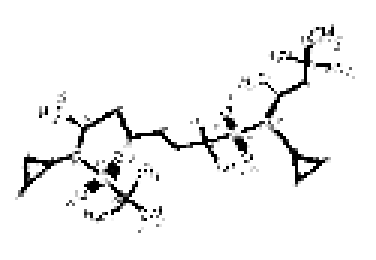 C[C@H](CC(C)(C)C)N(C1CC1)S(=O)(=O)C(C)(C)CCCC[C@H](C)N(C1CC1)S(=O)(=O)C(C)(C)C